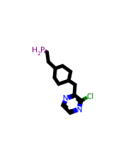 PCCC1CCC(Cc2nccnc2Cl)CC1